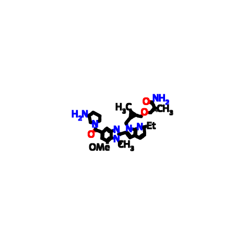 CCc1ccc2cc(-c3nc4cc(C(=O)N5CCCC(N)C5)cc(OC)c4n3C)n(CC3C(C)C3COC[C@H](C)C(N)=O)c2n1